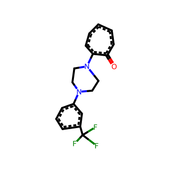 O=c1cccccc1N1CCN(c2cccc(C(F)(F)F)c2)CC1